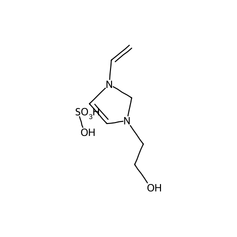 C=CN1C=CN(CCO)C1.O=S(=O)(O)O